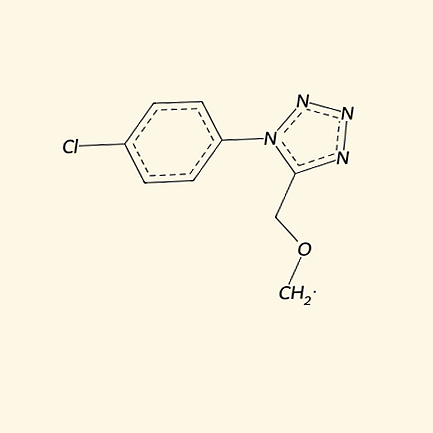 [CH2]OCc1nnnn1-c1ccc(Cl)cc1